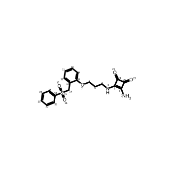 Nc1c(NCCCOc2ccccc2CS(=O)(=O)c2ccccc2)c(=O)c1=O